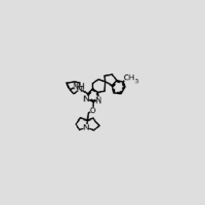 Cc1cccc2c1CCC21CCc2c(nc(OCC34CCCN3CCC4)nc2N2CC3CC(C2)N3)C1